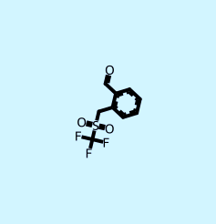 O=Cc1ccccc1CS(=O)(=O)C(F)(F)F